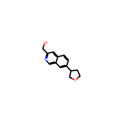 OCc1cc2ccc(C3CCOC3)cc2cn1